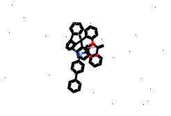 C=C(/C=C\C(=C/C)N(c1ccc(-c2ccccc2)cc1)c1cccc2c1C1(c3ccccc3Oc3ccccc31)c1ccccc1-2)c1ccccc1